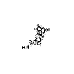 NCCC(=O)N[C@H]1CC[C@H](NC(=O)c2cc(O)nc3ccccc23)CC1